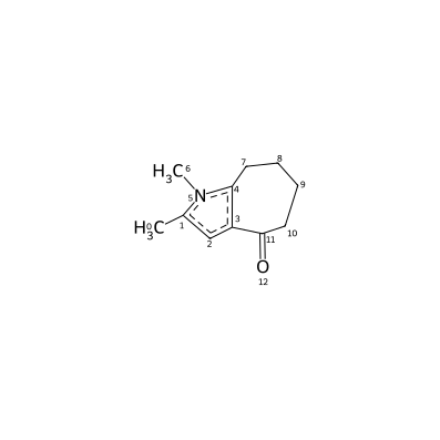 Cc1cc2c(n1C)CCCCC2=O